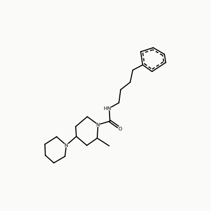 CC1CC(N2CCCCC2)CCN1C(=O)NCCCCc1ccccc1